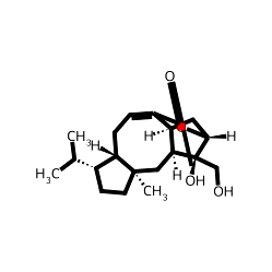 CC(C)[C@H]1CC[C@]2(C)C[C@H]3[C@@H]4C[C@@H](OC(=O)/C4=C/C[C@@H]12)[C@]3(O)CO